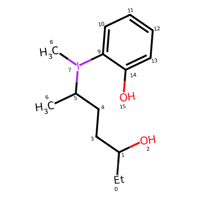 CCC(O)CCC(C)I(C)c1ccccc1O